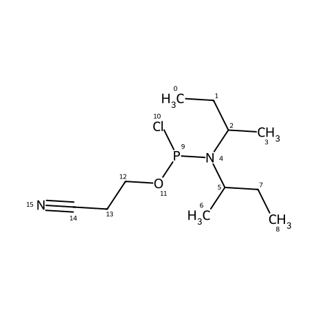 CCC(C)N(C(C)CC)P(Cl)OCCC#N